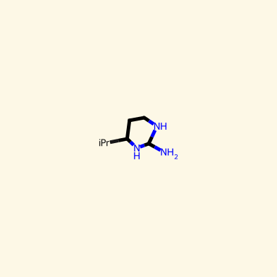 CC(C)C1CCNC(N)N1